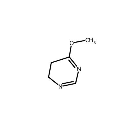 COC1=NC=NCC1